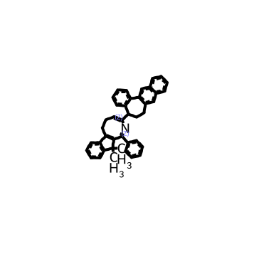 CC1(C)C2=C(CC/C=C(C3CCc4cc5ccccc5cc4-c4ccccc43)\N=C/2c2ccccc2)c2ccccc21